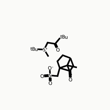 CC1(C)C2CCC1(CS(=O)(=O)[O-])C(=O)C2.C[S+](CC(=O)C(C)(C)C)C(C)(C)C